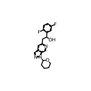 OC(Cc1cc2cnn(C3CCCCO3)c2cn1)c1cc(F)ccc1F